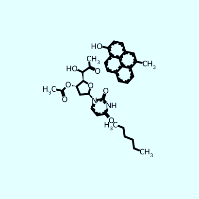 CC(=O)O[C@H]1C[C@H](n2ccc(=O)[nH]c2=O)O[C@@H]1C(O)C(C)=O.CCCCCC.Cc1cc2ccc(O)c3ccc4cccc1c4c23